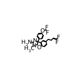 CN1C(=O)C(c2ccc(OC(F)F)cc2)(c2cccc(CCC=C(F)F)c2)N=C1N